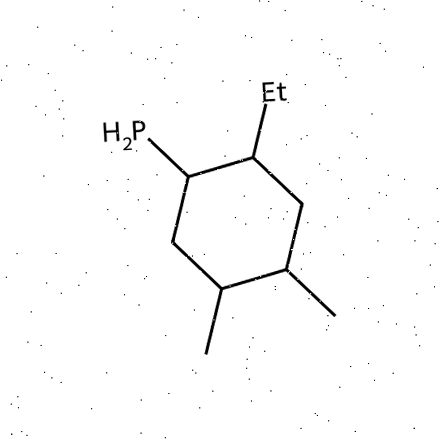 CCC1CC(C)C(C)CC1P